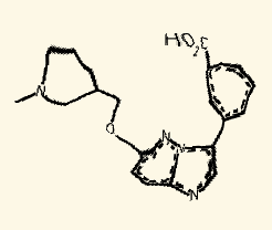 CN1CCCC(COc2ccc3ncc(-c4cccc(C(=O)O)c4)n3n2)C1